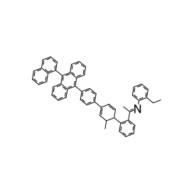 CCc1ccccc1/N=C(\C)c1ccccc1C1C=CC(c2ccc(-c3c4ccccc4c(-c4cccc5ccccc45)c4ccccc34)cc2)=CC1C